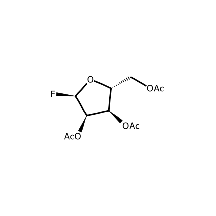 CC(=O)OC[C@H]1O[C@H](F)[C@H](OC(C)=O)[C@@H]1OC(C)=O